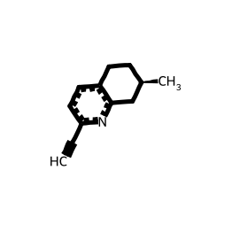 C#Cc1ccc2c(n1)C[C@H](C)CC2